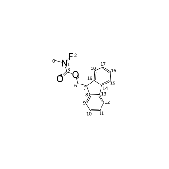 CN(F)C(=O)OCC1c2ccccc2-c2ccccc21